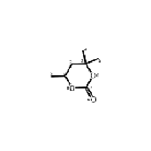 CC1CC(C)(C)OC(=O)O1